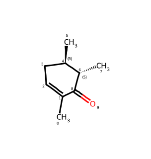 CC1=CC[C@@H](C)[C@H](C)C1=O